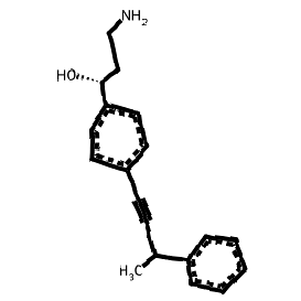 CC(C#Cc1ccc([C@H](O)CCN)cc1)c1ccccc1